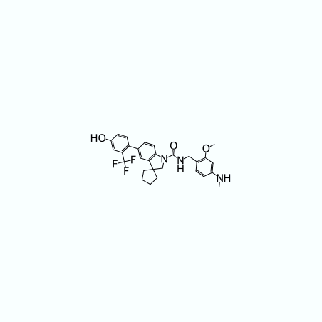 CNc1ccc(CNC(=O)N2CC3(CCCC3)c3cc(-c4ccc(O)cc4C(F)(F)F)ccc32)c(OC)c1